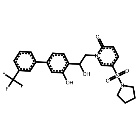 O=c1ccc(S(=O)(=O)N2CCCC2)cn1CC(O)c1ccc(-c2cccc(C(F)(F)F)c2)cc1O